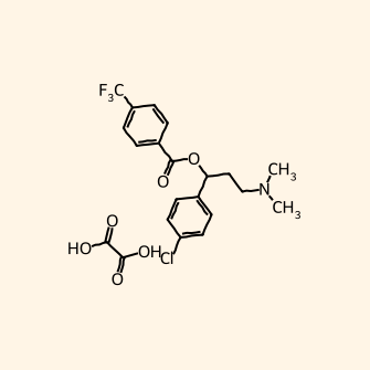 CN(C)CCC(OC(=O)c1ccc(C(F)(F)F)cc1)c1ccc(Cl)cc1.O=C(O)C(=O)O